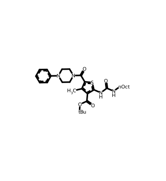 CCCCCCCCNC(=O)Nc1sc(C(=O)N2CCN(c3ccccc3)CC2)c(C)c1C(=O)OC(C)(C)C